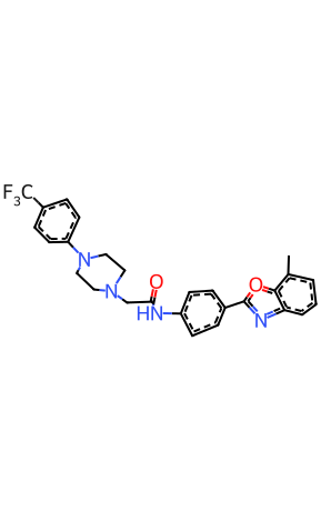 Cc1cccc2nc(-c3ccc(NC(=O)CN4CCN(c5ccc(C(F)(F)F)cc5)CC4)cc3)oc12